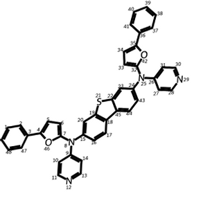 c1ccc(-c2ccc(N(c3ccncc3)c3ccc4c(c3)sc3cc(N(c5ccncc5)c5ccc(-c6ccccc6)o5)ccc34)o2)cc1